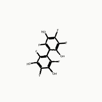 Oc1c(F)c(F)c(O)c(-c2c(F)c(O)c(F)c(O)c2F)c1F